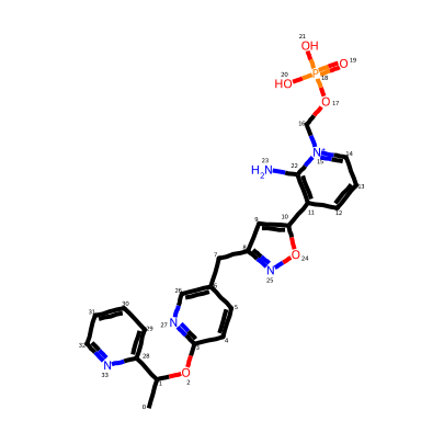 CC(Oc1ccc(Cc2cc(-c3ccc[n+](COP(=O)(O)O)c3N)on2)cn1)c1ccccn1